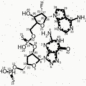 Nc1nc2c(nnn2[C@@H]2O[C@H](CO[PH](O)=S)C[C@H]2OP(O)(=S)OCC2O[C@@H](n3ccc4c(N)ncnc43)[C@@H](F)[C@@H]2O)c(=O)[nH]1